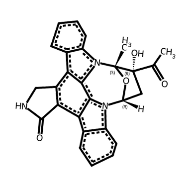 CC(=O)[C@@]1(O)C[C@H]2O[C@]1(C)n1c3ccccc3c3c4c(c5c6ccccc6n2c5c31)C(=O)NC4